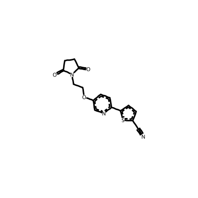 N#Cc1ccc(-c2ccc(OCCN3C(=O)CCC3=O)cn2)s1